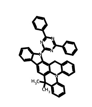 CC1(C)c2ccccc2N2c3ccccc3Cc3c2c1cc1c2ccccc2n(-c2nc(-c4ccccc4)nc(-c4ccccc4)n2)c31